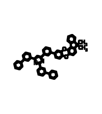 CC1(C)c2ccccc2-c2c1ccc1c2Oc2cc(-c3cccc(-c4cc(-c5cccc(-c6ccccc6)c5)nc(-c5cccc(-c6ccccc6)c5)n4)c3)ccc2O1